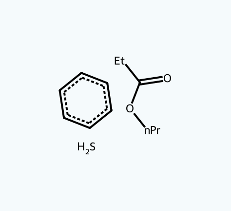 CCCOC(=O)CC.S.c1ccccc1